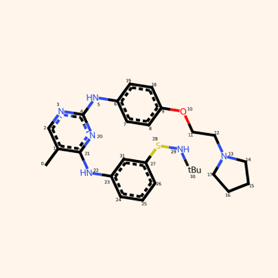 Cc1cnc(Nc2ccc(OCCN3CCCC3)cc2)nc1Nc1cccc(SNC(C)(C)C)c1